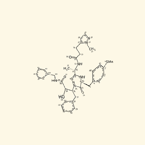 COc1ccc(C[C@H](NC(=O)[C@H](C)NC(=O)CCc2ccnn2C)C(=O)NC(Cc2ccccc2)C(O)C(=O)NCc2ccccc2)cc1